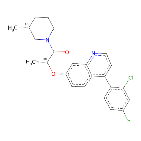 C[C@@H]1CCCN(C(=O)[C@@H](C)Oc2ccc3c(-c4ccc(F)cc4Cl)ccnc3c2)C1